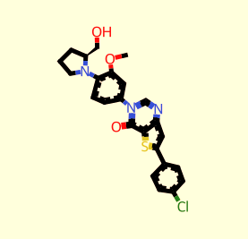 COc1cc(-n2cnc3cc(-c4ccc(Cl)cc4)sc3c2=O)ccc1N1CCC[C@H]1CO